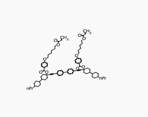 C=CC(=O)OCCCCCCOc1ccc(C(=O)OC2(C#Cc3ccc(-c4ccc(C#CC5(OC(=O)c6ccc(OCCCCCCOC(=O)C=C)cc6)CCC(C6CCC(CCC)CC6)CC5)cc4)cc3)CCC(C3CCC(CCC)CC3)CC2)cc1